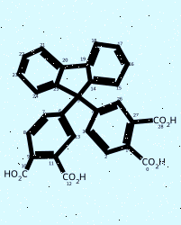 O=C(O)c1ccc(C2(c3ccc(C(=O)O)c(C(=O)O)c3)c3ccccc3-c3ccccc32)cc1C(=O)O